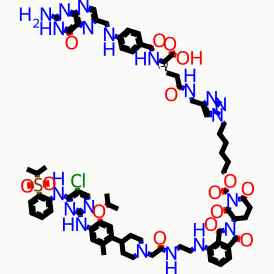 Cc1cc(Nc2ncc(Cl)c(Nc3ccccc3S(=O)(=O)C(C)C)n2)c(OC(C)C)cc1C1CCN(CC(=O)NCCNc2cccc3c2C(=O)N(C2CCC(=O)N(C(=O)OCCCCCCn4cc(CNC(=O)CC[C@H](NC(=O)c5ccc(NCc6cnc7nc(N)[nH]c(=O)c7n6)cc5)C(=O)O)nn4)C2=O)C3=O)CC1